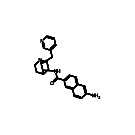 Nc1ccc2cc(C(=O)NC3C4CCN(CC4)C3Cc3cccnc3)ccc2c1